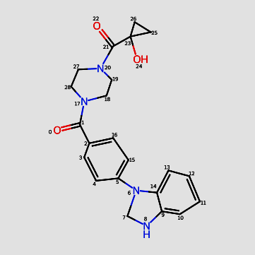 O=C(c1ccc(N2CNc3ccccc32)cc1)N1CCN(C(=O)C2(O)CC2)CC1